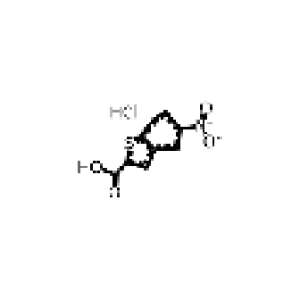 Cl.O=C(O)c1cc2cc([N+](=O)[O-])ccc2s1